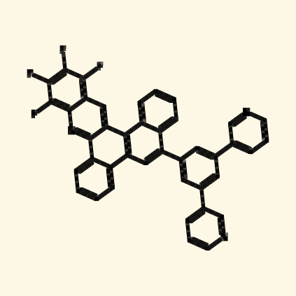 Fc1c(F)c(F)c2nc3c4ccccc4c4cc(-c5cc(-c6cccnc6)cc(-c6cccnc6)c5)c5ccccc5c4c3cc2c1F